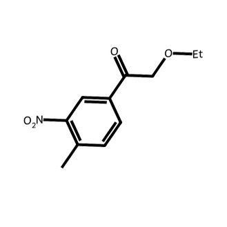 CCOCC(=O)c1ccc(C)c([N+](=O)[O-])c1